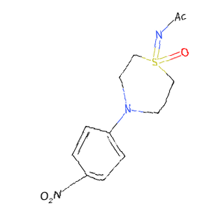 CC(=O)N=S1(=O)CCN(c2ccc([N+](=O)[O-])cc2)CC1